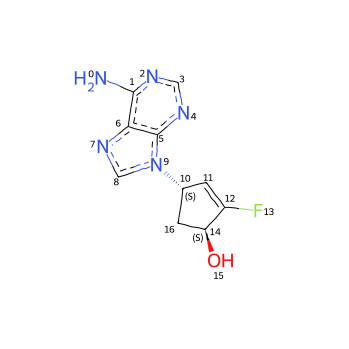 Nc1ncnc2c1ncn2[C@@H]1C=C(F)[C@@H](O)C1